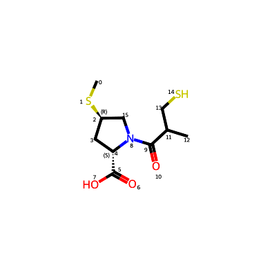 CS[C@@H]1C[C@@H](C(=O)O)N(C(=O)C(C)CS)C1